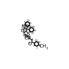 Cc1ccc(C(=O)CCC[N@@+]2(C)CCC(C(C(N)=O)(c3ccccc3)c3ccccc3)C2)cc1